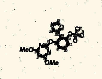 COc1cc(OC)nc(Oc2cccc(OS(=O)(=O)C(F)(F)F)c2-c2cnco2)n1